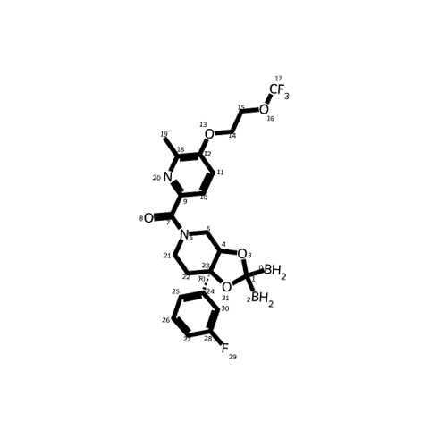 BC1(B)OC2CN(C(=O)c3ccc(OCCOC(F)(F)F)c(C)n3)CC[C@]2(c2cccc(F)c2)O1